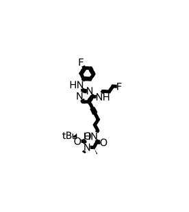 C[C@@H](C(=O)NCCCC#Cc1cnc(Nc2cccc(F)c2)nc1NCCCF)N(C)C(=O)OC(C)(C)C